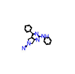 N#CN1Cc2nc(Nc3ccccc3)nc(-c3ccccc3)c2C1